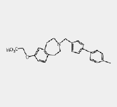 Cc1ccc(-c2ccc(CN3CCc4ccc(OCC(=O)O)cc4CC3)cc2)cc1